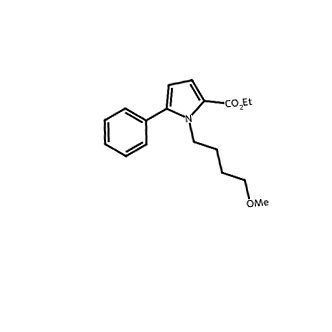 CCOC(=O)c1ccc(-c2ccccc2)n1CCCCOC